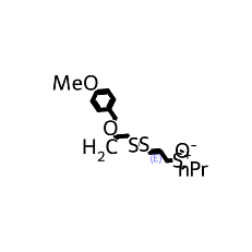 C=C(CSS/C=C/C[S+]([O-])CCC)OCc1ccc(OC)cc1